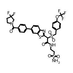 NS(=O)(=O)CCNC(=O)C(c1nc2ccc(-c3ccc(C(=O)N4CCC(F)(F)C4)cc3)cc2s1)S(=O)(=O)Cc1ccc(OC(F)(F)F)cc1